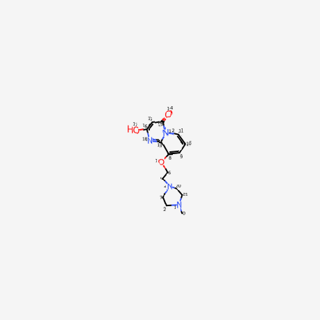 CN1CCN(CCOc2cccn3c(=O)cc(O)nc23)CC1